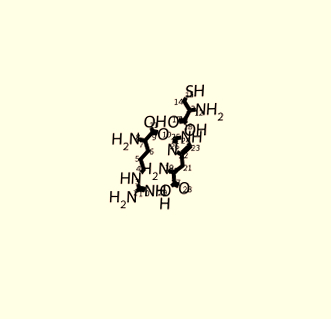 N=C(N)NCCCC(N)C(=O)O.NC(CS)C(=O)O.NC(Cc1c[nH]cn1)C(=O)O